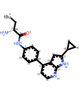 CC(C)(C)C[C@@H](N)C(=O)Nc1ccc(-c2ccnc3[nH]c(C4CC4)cc23)cc1